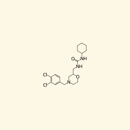 O=C(NCC1CN(Cc2ccc(Cl)c(Cl)c2)CCO1)NC1CCCCC1